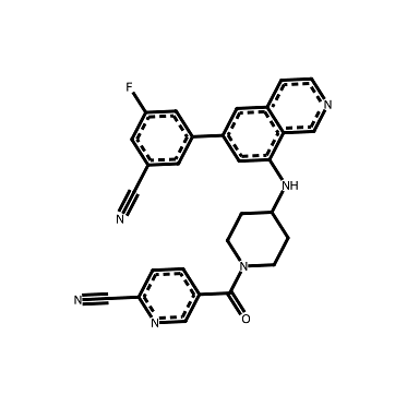 N#Cc1cc(F)cc(-c2cc(NC3CCN(C(=O)c4ccc(C#N)nc4)CC3)c3cnccc3c2)c1